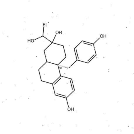 CCC(O)C1(O)CC[C@@]2(Cc3ccc(O)cc3)c3ccc(O)cc3CCC2C1